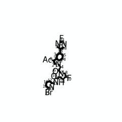 CC(=O)c1cn(CC(=O)N2C[C@H](F)CC2C(=O)Nc2cccc(Br)n2)c2ccc(-c3cnc(F)nc3)cc12